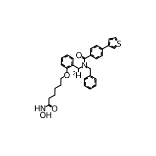 [2H]C(c1ccccc1OCCCCCC(=O)NO)N(Cc1ccccc1)C(=O)c1ccc(-c2ccsc2)cc1